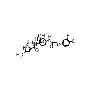 Cc1cc(C(=O)NC23CCC(NC(=O)COc4ccc(Cl)c(F)c4)(CC2)C[C@@H]3O)n(C)n1